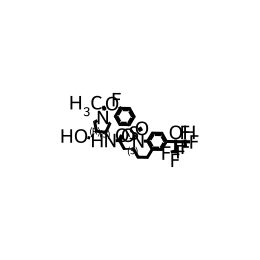 CC(=O)N1C[C@@H](CO)[C@H](NC(=O)C[C@@H]2CCc3cc(C(O)(C(F)(F)F)C(F)(F)F)ccc3N2S(=O)(=O)c2ccc(F)cc2)C1